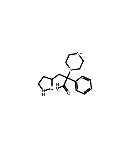 O=C(O)C(CC1CCNO1)(c1ccccc1)N1CCNCC1